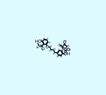 CN(C)C(=O)c1c(O)cccc1OCCCCc1ccc(O)c(N2N(I)C(=O)CS2(=O)=O)c1